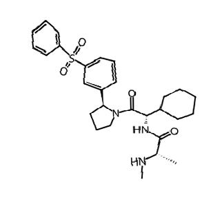 CN[C@@H](C)C(=O)N[C@H](C(=O)N1CCC[C@H]1c1cccc(S(=O)(=O)c2ccccc2)c1)C1CCCCC1